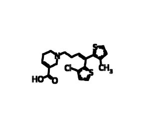 Cc1ccsc1C(=CCCN1CCC=C(C(=O)O)C1)c1sccc1Cl